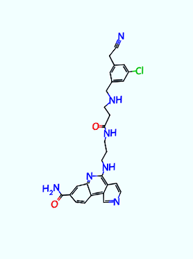 N#CCc1cc(Cl)cc(CNCCC(=O)NCCCNc2nc3cc(C(N)=O)ccc3c3cnccc23)c1